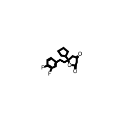 O=C1CC(=O)OC(CCc2ccc(F)c(F)c2)(C2CCCC2)C1